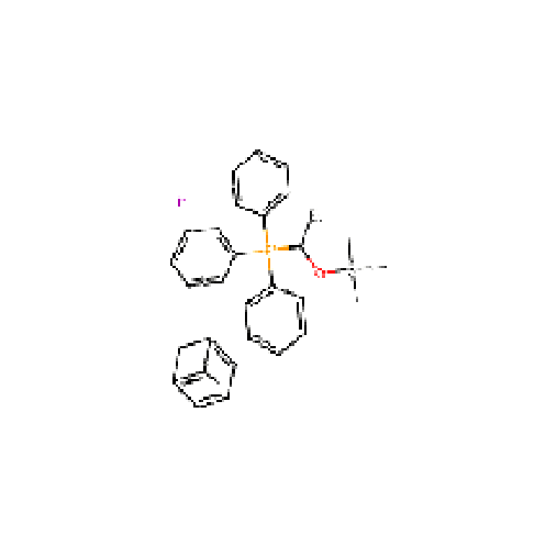 CCC(O[Si](C)(C)C)[P+](c1ccccc1)(c1ccccc1)c1ccccc1.Cc1c2cccc1C2.[I-]